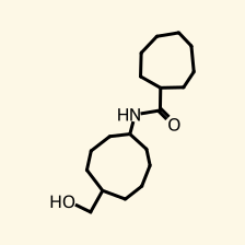 O=C(NC1CCCCC(CO)CCC1)C1CCCCCCC1